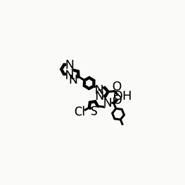 CC1CCC(C(=O)N(Cc2ccc(Cl)s2)c2nn(-c3ccc(-c4cc5ncccn5n4)cc3)cc2C(=O)O)CC1